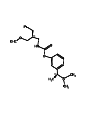 CC(C)C[C@@H](CNC(=O)Oc1cccc([C@H](C)N(C)C)c1)COC=O